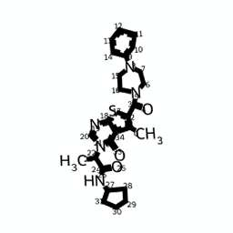 Cc1c(C(=O)N2CCN(c3ccccc3)CC2)sc2ncn(C(C)C(=O)NC3CCCC3)c(=O)c12